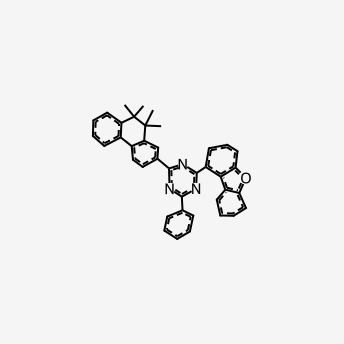 CC1(C)c2ccccc2-c2ccc(-c3nc(-c4ccccc4)nc(-c4cccc5oc6ccccc6c45)n3)cc2C1(C)C